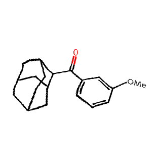 COc1cccc(C(=O)C2C3CC4CC(C3)CC2C4)c1